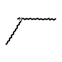 CCCCCCCCCCCCCCCCCCCN(CC)CCCCCCCCCCCCCCCC